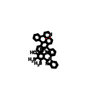 Bc1c(B)c(-c2nc3ccccc3n2-c2cccc(-c3c4ccccc4c(-c4ccccc4-c4ccncc4)c4ccccc34)c2)c(B)c(B)c1O